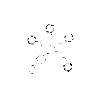 CC(C)(C)OC(=O)N1CCN(C(=O)[C@H](OCc2ccccc2)[C@@H](OCc2ccccc2)[C@H](OCc2ccccc2)C(=O)COCc2ccccc2)CC1